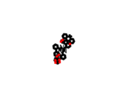 CC1(C)c2ccccc2C2(c3ccccc3-c3c(-c4nc(-c5ccccc5-c5ccc(-c6ccccc6)cc5)nc(-c5cccc6c5oc5ccccc56)n4)cccc32)c2ccccc21